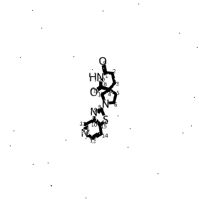 O=C1CCC2(CCN(c3nc4cnccc4s3)C2)C(=O)N1